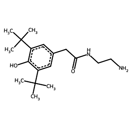 CC(C)(C)c1cc(CC(=O)NCCN)cc(C(C)(C)C)c1O